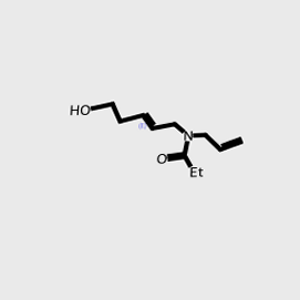 C=CCN(C/C=C/CCO)C(=O)CC